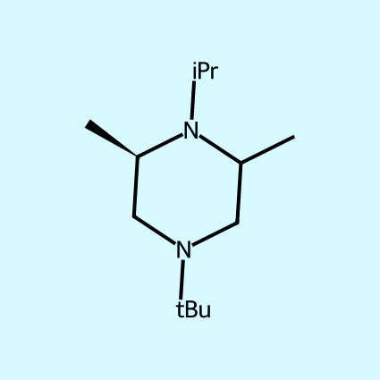 CC(C)N1C(C)CN(C(C)(C)C)C[C@H]1C